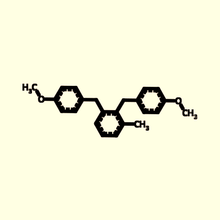 COc1ccc(Cc2cccc(C)c2Cc2ccc(OC)cc2)cc1